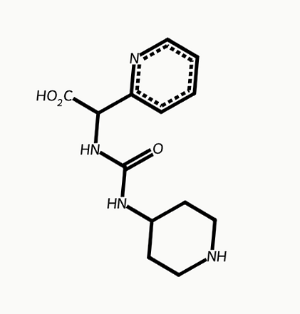 O=C(NC1CCNCC1)NC(C(=O)O)c1ccccn1